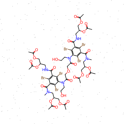 CC(=O)OCC(CNC(=O)c1c(Br)c(C(=O)N(C)CC(COC(C)=O)OC(C)=O)c(Br)c(N(CCO)C(=O)COCC(=O)N(CCO)c2c(Br)c(C(=O)NCC(COC(C)=O)OC(C)=O)c(Br)c(C(=O)N(C)CC(COC(C)=O)OC(C)=O)c2Br)c1Br)OC(C)=O